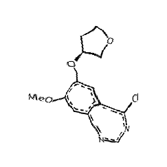 COc1cc2ncnc(Cl)c2cc1O[C@H]1CCOC1